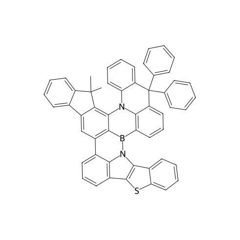 CC1(C)c2ccccc2-c2cc3c4c(c21)N1c2ccccc2C(c2ccccc2)(c2ccccc2)c2cccc(c21)B4n1c2c-3cccc2c2sc3ccccc3c21